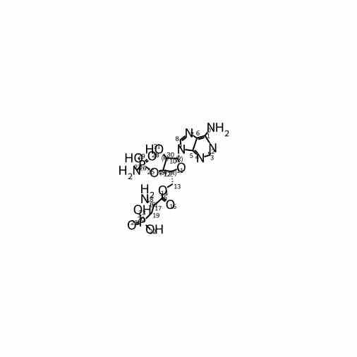 Nc1ncnc2c1ncn2[C@@H]1O[C@H](COC(=O)[C@@H](N)CP(=O)(O)O)[C@@H](OP(N)(=O)O)[C@H]1O